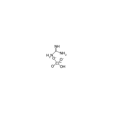 N=C(N)N.[O-][Cl+3]([O-])([O-])O